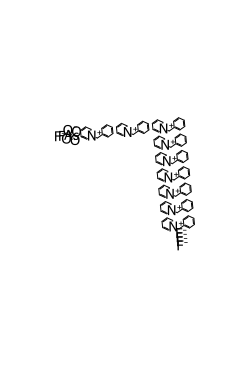 O=[As]([O-])([O-])[O-].[F-].[F-].[F-].[F-].[F-].[F-].c1ccc(C[n+]2ccccc2)cc1.c1ccc(C[n+]2ccccc2)cc1.c1ccc(C[n+]2ccccc2)cc1.c1ccc(C[n+]2ccccc2)cc1.c1ccc(C[n+]2ccccc2)cc1.c1ccc(C[n+]2ccccc2)cc1.c1ccc(C[n+]2ccccc2)cc1.c1ccc(C[n+]2ccccc2)cc1.c1ccc(C[n+]2ccccc2)cc1